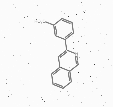 O=C(O)c1cccc(-c2cc3ccccc3cn2)c1